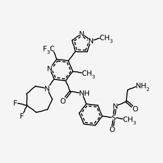 Cc1c(C(=O)Nc2cccc(S(C)(=O)=NC(=O)CN)c2)c(N2CCCC(F)(F)CC2)nc(C(F)(F)F)c1-c1cnn(C)c1